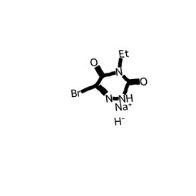 CCn1c(=O)[nH]nc(Br)c1=O.[H-].[Na+]